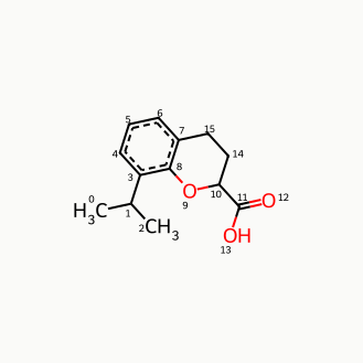 CC(C)c1cccc2c1OC(C(=O)O)CC2